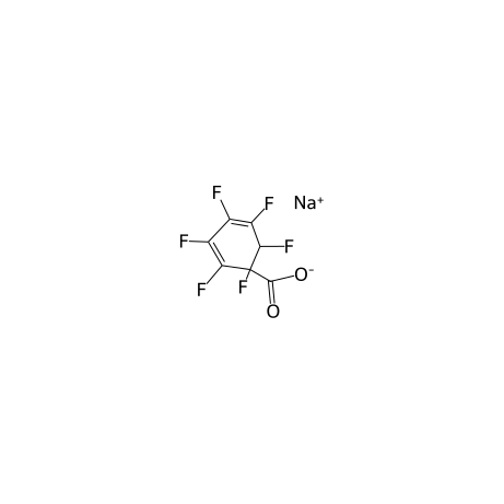 O=C([O-])C1(F)C(F)=C(F)C(F)=C(F)C1F.[Na+]